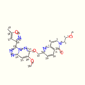 COCCn1ccc2nc(COc3nn4c(-c5cc(C)on5)nnc4cc3OC)ccc2c1=O